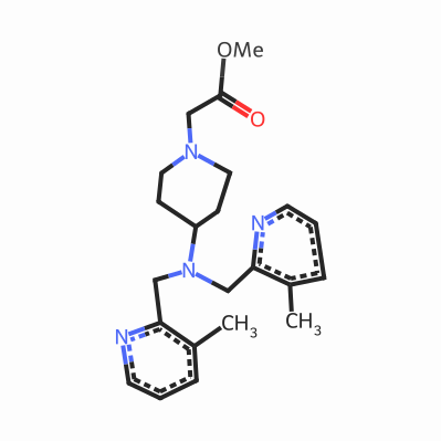 COC(=O)CN1CCC(N(Cc2ncccc2C)Cc2ncccc2C)CC1